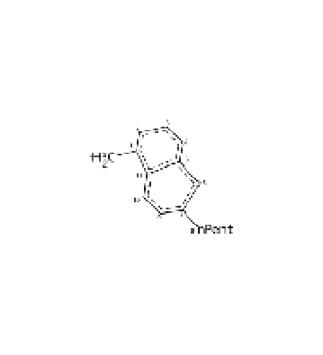 [CH2]c1cccc2cc(CCCCC)ccc12